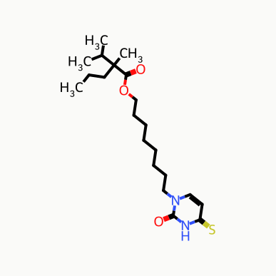 CCCC(C)(C(=O)OCCCCCCCCn1ccc(=S)[nH]c1=O)C(C)C